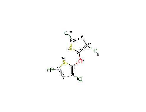 Clc1cc(Cl)c(Oc2sc(Cl)cc2Cl)s1